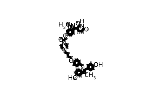 Cc1c(-c2ccc(O)cc2)n(Cc2ccc(OCCCCN3CCN(C(=O)COc4ccc5c(C6CCC(=O)NC6=O)nn(C)c5c4)CC3)cc2)c2ccc(O)cc12